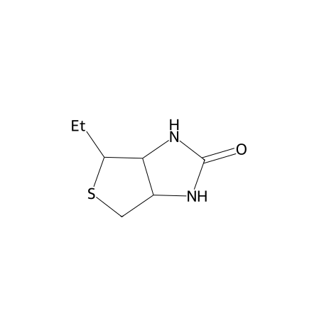 CCC1SCC2NC(=O)NC21